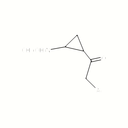 CC(=O)CC(=O)C1CC1N(C)O